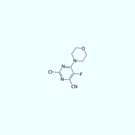 N#Cc1nc(Cl)nc(N2CCOCC2)c1F